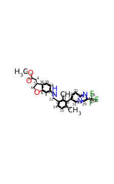 COC(=O)C[C@@H]1COc2cc(NCc3ccc(C)c(-c4ccc5nc(C(F)(F)F)cn5c4)c3C)ccc21